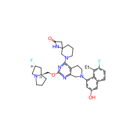 CCc1c(F)ccc2cc(O)cc(N3CCc4c(nc(OC[C@@]56CCCN5C[C@H](F)C6)nc4N4CCCC5(CC(=O)N5)C4)C3)c12